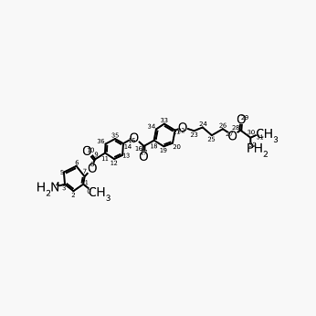 Cc1cc(N)ccc1OC(=O)c1ccc(OC(=O)c2ccc(OCCCCOC(=O)C(C)P)cc2)cc1